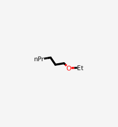 [CH2]CCCCCOCC